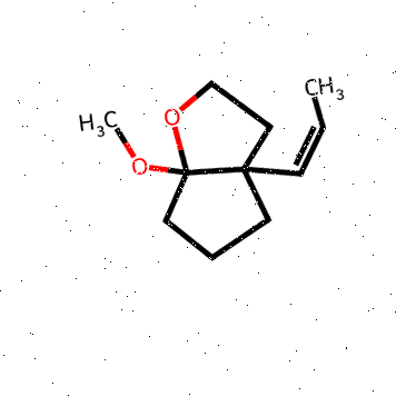 C/C=C\C12CCCC1(OC)OCC2